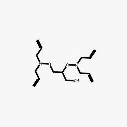 C=CCN(CC=C)OCC(CO)ON(CC=C)CC=C